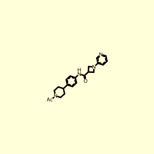 CC(=O)N1CCC(c2ccc(NC(=O)C3CN(c4cccnc4)C3)cc2)CC1